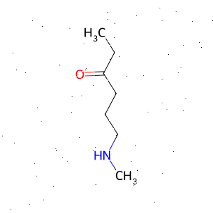 CCC(=O)CCCNC